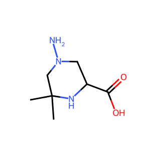 CC1(C)CN(N)CC(C(=O)O)N1